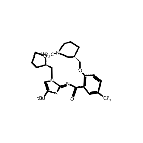 CC(C)(C)c1cn(C[C@H]2CCCO2)/c(=N/C(=O)c2cc(C(F)(F)F)ccc2OC[C@H]2CCCN(C(=O)O)C2)s1